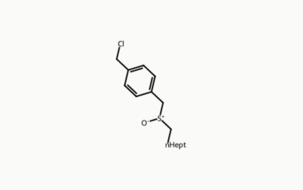 CCCCCCCC[S+]([O-])Cc1ccc(CCl)cc1